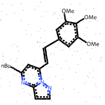 CCCCc1cc(C=Cc2cc(OC)c(OC)c(OC)c2)n2nccc2n1